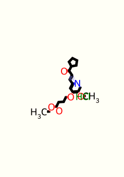 CCOC(=O)CCCOc1cc(/C=C/C(=O)C2CCCC2)ncc1OC.Cl